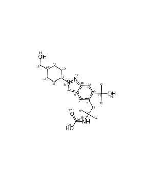 CC(C)(Cc1cc2cn(C3CCC(CO)CC3)nc2cc1C(C)(C)O)NC(=O)O